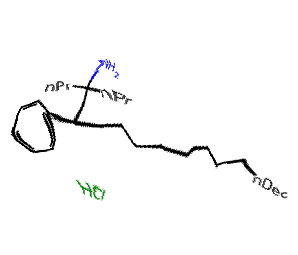 CCCCCCCCCCCCCCCCCCC(c1ccccc1)C(N)(CCC)CCC.Cl